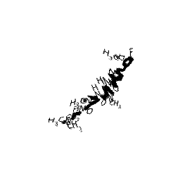 CC[N+](C)(C)CCCNC(=O)c1cc(NC(=O)c2cc(NC(=O)c3ccc(/C=C/c4ccc(F)c(OC)c4)nc3)cn2C)cn1C